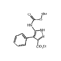 CCOC(=O)c1n[nH]c(NC(=O)OC(C)(C)C)c1-c1ccccc1